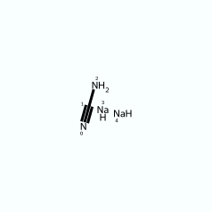 N#CN.[NaH].[NaH]